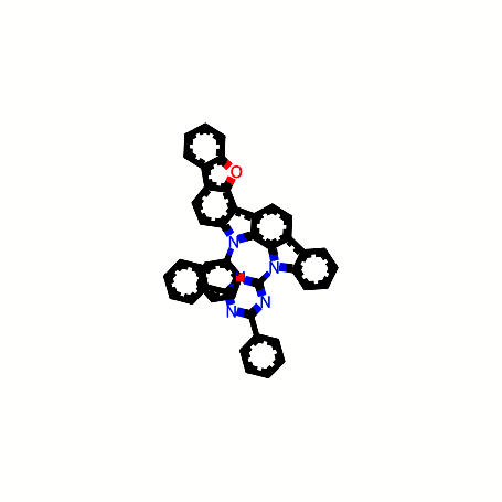 c1ccc(-c2nc(-c3ccccc3)nc(-n3c4ccccc4c4ccc5c6c7oc8ccccc8c7ccc6n(-c6ccccc6)c5c43)n2)cc1